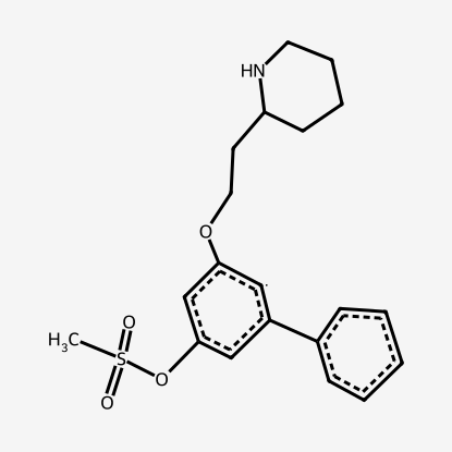 CS(=O)(=O)Oc1cc(OCCC2CCCCN2)[c]c(-c2ccccc2)c1